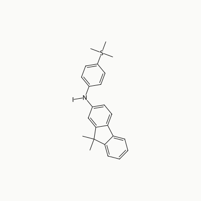 CC1(C)c2ccccc2-c2ccc(N(I)c3ccc(S(C)(C)C)cc3)cc21